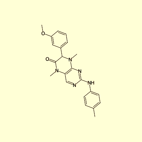 COc1cccc(C2C(=O)N(C)c3cnc(Nc4ccc(C)cc4)nc3N2C)c1